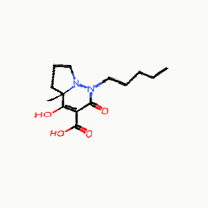 CCCCCN1C(=O)C(C(=O)O)=C(O)C2(C)CCCN12